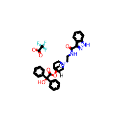 O=C(NCC[N+]12CCC(CC1)[C@@H](OC(=O)C(O)(c1ccccc1)c1ccccc1)C2)c1n[nH]c2ccccc12.O=C([O-])C(F)(F)F